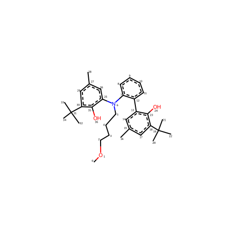 COCCCCN(c1ccccc1-c1cc(C)cc(C(C)(C)C)c1O)c1cc(C)cc(C(C)(C)C)c1O